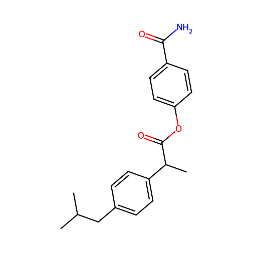 CC(C)Cc1ccc(C(C)C(=O)Oc2ccc(C(N)=O)cc2)cc1